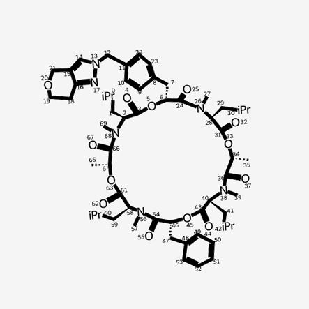 CC(C)C[C@H]1C(=O)O[C@H](Cc2ccc(Cn3cc4c(n3)CCOC4)cc2)C(=O)N(C)[C@@H](CC(C)C)C(=O)O[C@H](C)C(=O)N(C)[C@@H](CC(C)C)C(=O)O[C@H](Cc2ccccc2)C(=O)N(C)[C@@H](CC(C)C)C(=O)O[C@H](C)C(=O)N1C